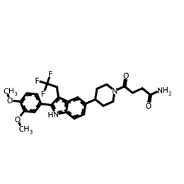 COc1ccc(-c2[nH]c3ccc(C4CCN(C(=O)CCC(N)=O)CC4)cc3c2CC(F)(F)F)cc1OC